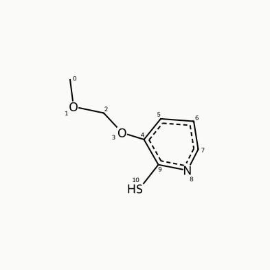 COCOc1cccnc1S